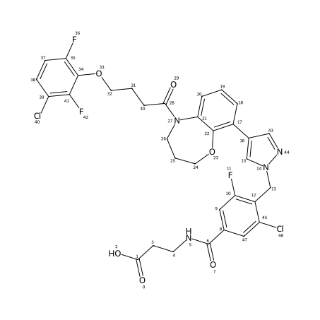 O=C(O)CCNC(=O)c1cc(F)c(Cn2cc(-c3cccc4c3OCCCN4C(=O)CCCOc3c(F)ccc(Cl)c3F)cn2)c(Cl)c1